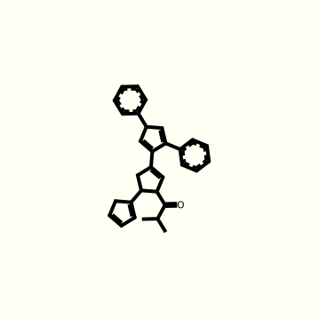 CC(C)C(=O)C1C=C(C2=CC(c3ccccc3)C=C2c2ccccc2)CC1C1=CC=CC1